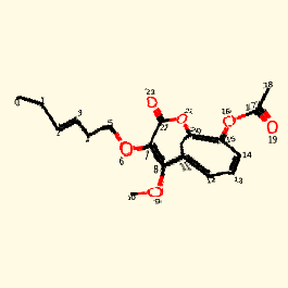 CCC=CCCOc1c(OC)c2cccc(OC(C)=O)c2oc1=O